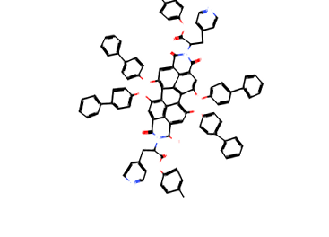 Cc1ccc(OC(=O)C(Cc2ccncc2)N2C(=O)c3cc(Oc4ccc(-c5ccccc5)cc4)c4c5c(Oc6ccc(-c7ccccc7)cc6)cc6c7c(cc(Oc8ccc(-c9ccccc9)cc8)c(c8c(Oc9ccc(-c%10ccccc%10)cc9)cc(c3c48)C2=O)c75)C(O)N(C(Cc2ccncc2)C(=O)Oc2ccc(C)cc2)C6=O)cc1